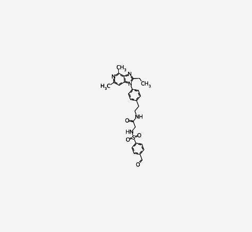 CCc1nc2c(C)nc(C)cc2n1-c1ccc(CCNC(=O)CNS(=O)(=O)c2ccc(C=O)cc2)cc1